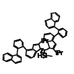 CC(C)C1=Cc2c(-c3ccccc3-c3cccc4ccccc34)cccc2[CH]1[Zr]([CH]1C(C(C)C)=Cc2c(-c3ccccc3-c3cccc4ccccc34)cccc21)[SiH](C)C